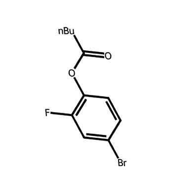 CCCCC(=O)Oc1ccc(Br)cc1F